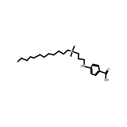 CCCCCCCCCCCC[Si](C)(C)CCCNc1ccc(C(=O)O)cc1